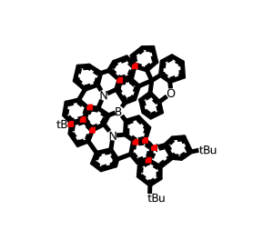 CC(C)(C)c1cc2c3c(c1)N(c1c(-c4ccccc4)cccc1-c1ccccc1)c1cc4c(cc1B3c1ccc(-n3c5ccc(C(C)(C)C)cc5c5cc(C(C)(C)C)ccc53)cc1N2c1c(-c2ccccc2)cccc1-c1ccccc1)C1(c2ccccc2Oc2ccccc21)c1ccccc1-4